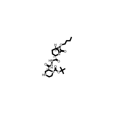 CCCCON1C(=O)N2C[C@@H]1CC[C@H]2C(=O)NNC(=O)[C@@H]1CNCCN1C(=O)OC(C)(C)C